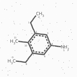 CCc1cc(N)cc(CC)c1C